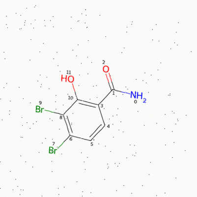 NC(=O)c1ccc(Br)c(Br)c1O